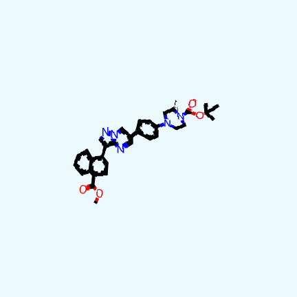 COC(=O)c1ccc(-c2cnn3cc(-c4ccc(N5CCN(C(=O)OC(C)(C)C)[C@@H](C)C5)cc4)cnc23)c2ccccc12